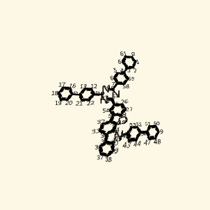 c1ccc(-c2ccc(-c3nc(-c4ccc(-c5ccccc5)cc4)nc(-c4ccc5oc6c(ccc7c8ccccc8n(-c8ccc(-c9ccccc9)cc8)c76)c5c4)n3)cc2)cc1